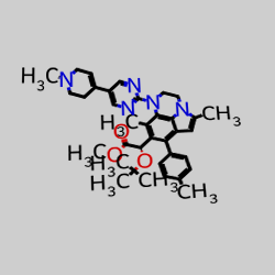 COC(=O)[C@@H](OC(C)(C)C)c1c(C)c2c3c(cc(C)n3CCN2c2ncc(C3=CCN(C)CC3)cn2)c1-c1ccc(C)cc1